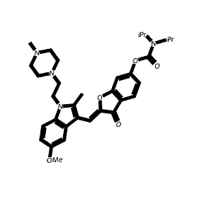 COc1ccc2c(c1)c(/C=C1\Oc3cc(OC(=O)N(C(C)C)C(C)C)ccc3C1=O)c(C)n2CCN1CCN(C)CC1